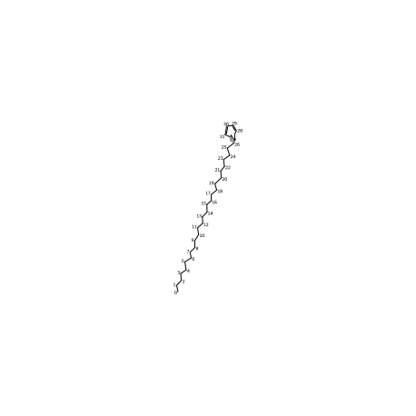 CCCCCCCCCCCCCCCCCCCCCCCCCCCn1cccc1